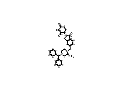 O=C1CCC(N2Cc3cc(CN4CCN(C(c5ccccc5)c5ccccc5)CC4C(F)(F)F)ccc3C2=O)C(=O)N1